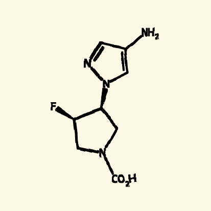 Nc1cnn([C@H]2CN(C(=O)O)C[C@H]2F)c1